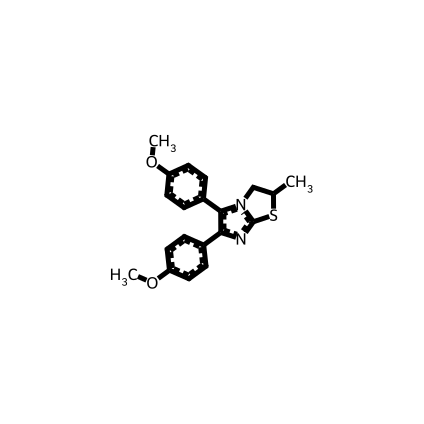 COc1ccc(-c2nc3n(c2-c2ccc(OC)cc2)CC(C)S3)cc1